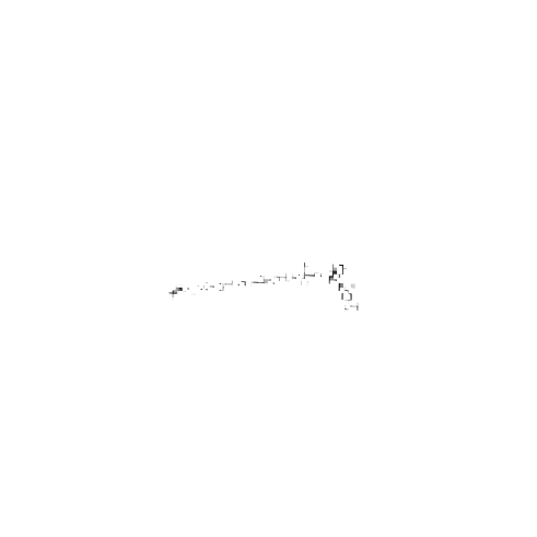 [N-]=[N+]=NCCOCCOCCOCCOCCOCCOCCOCCOCCC(=O)NCCCCn1nc(-c2cc3cc(O)ccc3[nH]2)c2cncnc21